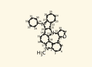 Cn1c2cccc3c4occc4n4c5c(ccc1c5c32)c1c4c2ccccc2n1-c1ccccc1